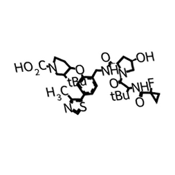 Cc1ncsc1-c1ccc(CNC(=O)[C@@H]2C[C@@H](O)CN2C(=O)C(NC(=O)C2(F)CC2)C(C)(C)C)c(OC2CCN(C(=O)O)CC2C(C)(C)C)c1